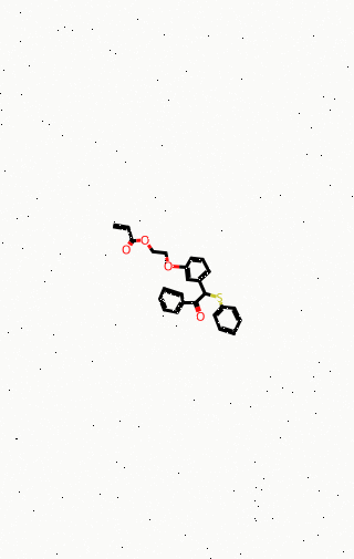 C=CC(=O)OCCOc1cccc(C(Sc2ccccc2)C(=O)c2ccccc2)c1